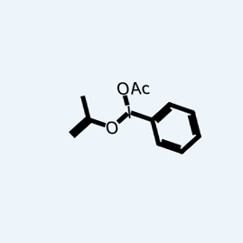 C=C(C)OI(OC(C)=O)c1ccccc1